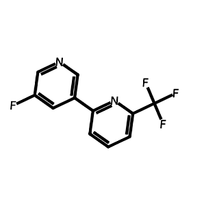 Fc1cncc(-c2cccc(C(F)(F)F)n2)c1